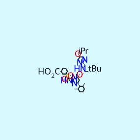 Cc1cccc(C)c1-c1cc(OC[C@@H](CC(C)(C)C)NCc2ncc(OC(C)C)cn2)nc(NS(=O)(=O)c2cccc(C(=O)O)c2)n1